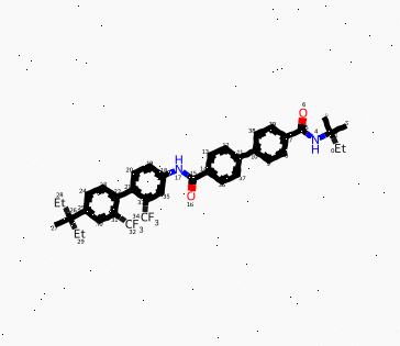 CCC(C)(C)NC(=O)c1ccc(-c2ccc(C(=O)Nc3ccc(-c4ccc(C(C)(CC)CC)cc4C(F)(F)F)c(C(F)(F)F)c3)cc2)cc1